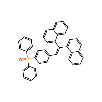 O=P(c1ccccc1)(c1ccccc1)c1ccc(C=C(c2cccc3ccccc23)c2cccc3ccccc23)cc1